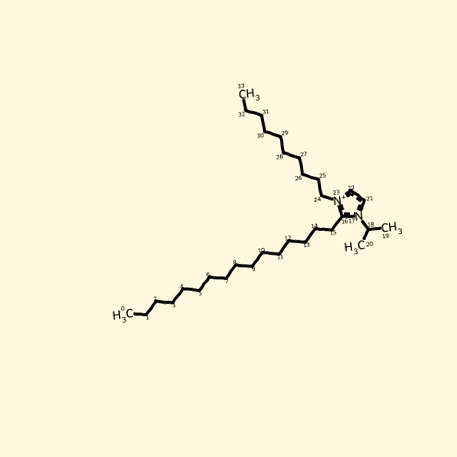 CCCCCCCCCCCCCCCCc1n(C(C)C)cc[n+]1CCCCCCCCCC